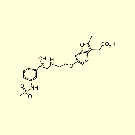 Cc1oc2cc(OCCNC[C@H](O)c3cccc(NS(C)(=O)=O)c3)ccc2c1CC(=O)O